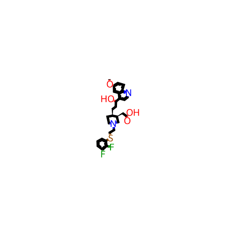 COc1ccc2nccc(C(O)CC[C@@H]3CCN(CCSc4cccc(F)c4F)C[C@@H]3CC(=O)O)c2c1